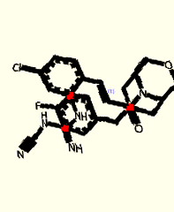 N#CNC(=N)Nc1cc(Cl)ccc1/C=C/C(=O)N1C2COCC1CN(Cc1ccc(F)cc1)C2